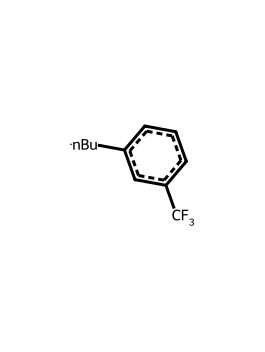 CCC[CH]c1cccc(C(F)(F)F)c1